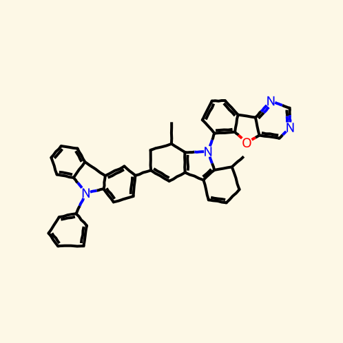 CC1CC=Cc2c3c(n(-c4cccc5c4oc4cncnc45)c21)C(C)CC(c1ccc2c(c1)c1ccccc1n2-c1ccccc1)=C3